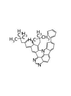 CC(C)(C)Cc1ccc2c(CC(C)(C)C)c3c(cc2c1)c1ncnc2ccc4c5ccc(-c6ccccc6)cc5n3c4c21